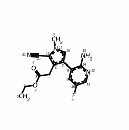 CCOC(=O)Cc1c(-c2cc(F)cnc2N)cn(C)c1C#N